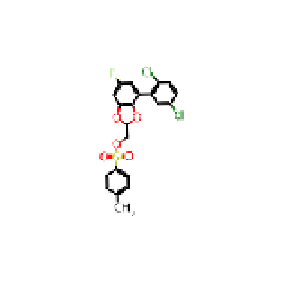 Cc1ccc(S(=O)(=O)OCC2Oc3cc(F)cc(-c4cc(Cl)ccc4Cl)c3O2)cc1